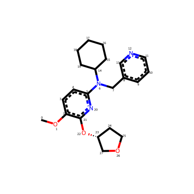 COc1ccc(N(Cc2cccnc2)C2CCCCC2)nc1O[C@@H]1CCOC1